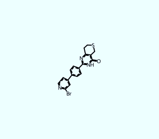 O=c1[nH]c(-c2ccc(-c3ccnc(Br)c3)cc2)nc2c1CSCC2